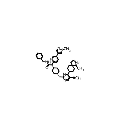 C#Cc1cnc(C[C@H]2CC[C@H](C(C(=O)NCc3ccccc3)c3ccc(-c4cnn(C)c4)cn3)CC2)nc1C1CCC2(CCNC2=C)CC1